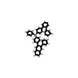 c1ccc(-c2ccccc2-c2ccc(N(c3ccccc3)c3ccc(-c4cc5ccccc5cc4-c4ccccc4)cc3)cc2)cc1